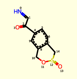 N=CC(=O)c1ccc2c(c1)COS(=O)C2